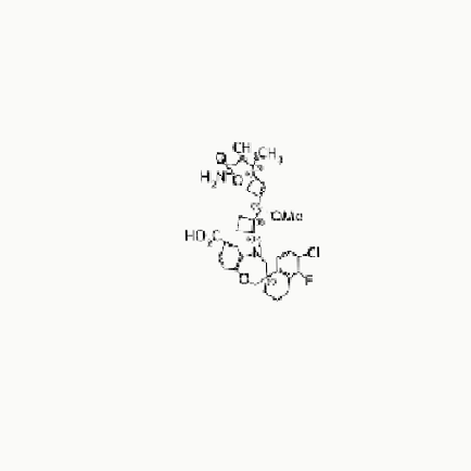 CO[C@@H](C1=C[C@H]([C@H](C)[C@@H](C)S(N)(=O)=O)C1)[C@@H]1CC[C@H]1CN1C[C@@]2(CCCc3c2ccc(Cl)c3F)COc2ccc(C(=O)O)cc21